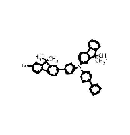 CC1(C)c2cc(Br)ccc2-c2ccc(-c3ccc(N(c4ccc(-c5ccccc5)cc4)c4ccc5c(c4)C(C)(C)c4ccccc4-5)cc3)cc21